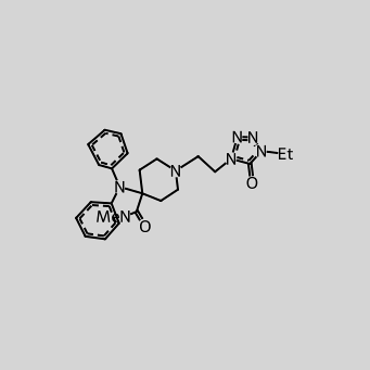 CCn1nnn(CCN2CCC(C(=O)NC)(N(c3ccccc3)c3ccccc3)CC2)c1=O